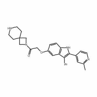 Cc1cc(-c2[nH]c3ccc(OCC(=O)N4CC5(CCNCC5)C4)cc3c2C(C)C)ccn1